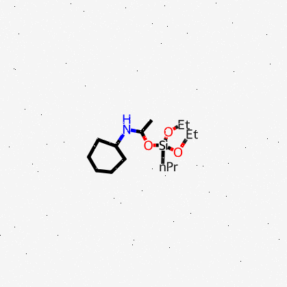 CCC[Si](OCC)(OCC)OC(C)NC1CCCCC1